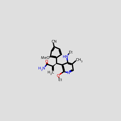 C=C(C(N)=O)[C@@H](c1ccc(C#N)cc1OC)c1c(OCC)ncc(C)c1NCC